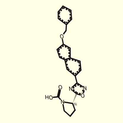 O=C(O)N1CCC[C@H]1c1nc(-c2ccc3cc(OCc4ccccc4)ccc3c2)no1